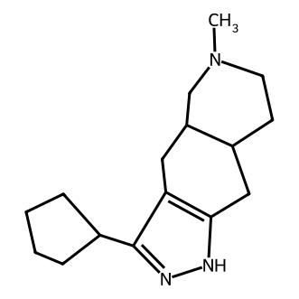 CN1CCC2Cc3[nH]nc(C4CCCC4)c3CC2C1